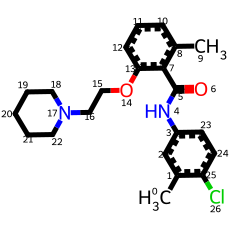 Cc1cc(NC(=O)c2c(C)cccc2OCCN2CCCCC2)ccc1Cl